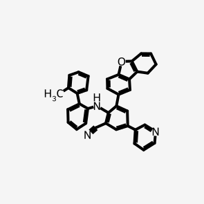 Cc1ccccc1-c1ccccc1Nc1c(C#N)cc(-c2cccnc2)cc1-c1ccc2oc3c(c2c1)CCC=C3